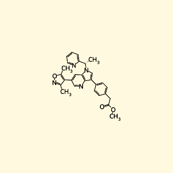 COC(=O)Cc1ccc(-c2cn([C@@H](C)c3ccccn3)c3cc(-c4c(C)noc4C)cnc23)cc1